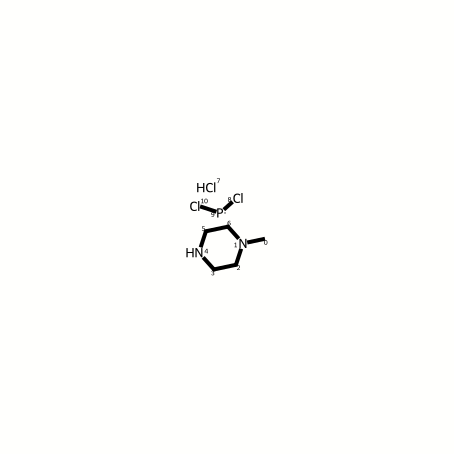 CN1CCNCC1.Cl.Cl[P]Cl